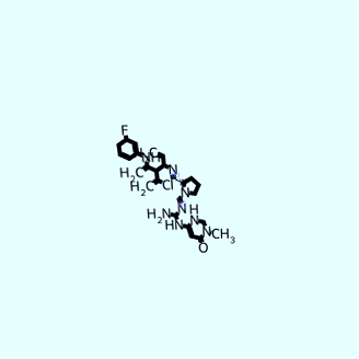 C=CC(/N=C/[C@@H]1CCCN1/C=N/C(N)NC1=CC(=O)N(C)CN1)C(C(=C)Cl)C(=C)NC1=CC(F)CC=C1